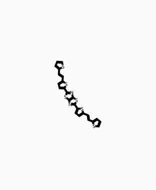 C(=C\c1ccc(-c2nc3sc(-c4ccc(/C=C/c5cccs5)s4)nc3s2)s1)/c1cccs1